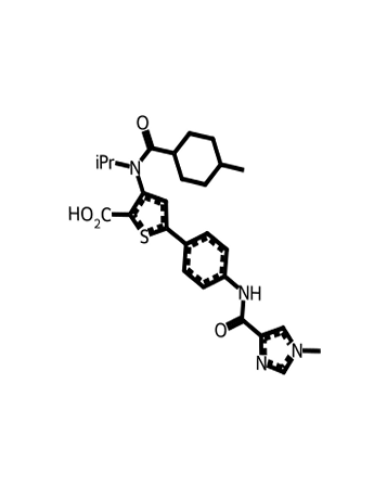 CC1CCC(C(=O)N(c2cc(-c3ccc(NC(=O)c4cn(C)cn4)cc3)sc2C(=O)O)C(C)C)CC1